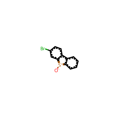 [O-][s+]1c2ccccc2c2ccc(Br)cc21